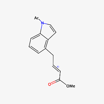 COC(=O)/C=C/Cc1cccc2c1ccn2C(C)=O